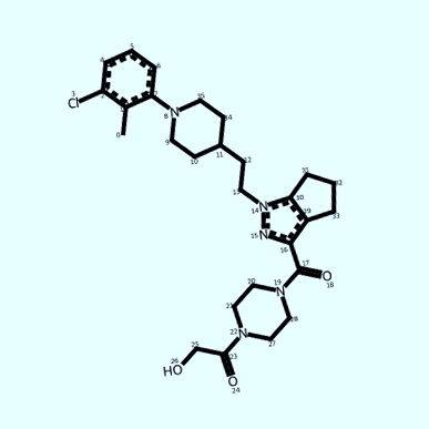 Cc1c(Cl)cccc1N1CCC(CCn2nc(C(=O)N3CCN(C(=O)CO)CC3)c3c2CCC3)CC1